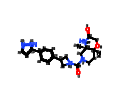 O=C1CO[C@H]2CCN(C(=O)N3CC(c4ccc(-c5ccn[nH]5)cc4)C3)C[C@H]2N1